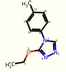 CCOc1nncn1-c1ccc(C)cc1